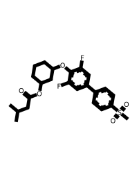 CC(C)CC(=O)OC1CCCC(Oc2c(F)cc(-c3ccc(S(C)(=O)=O)cc3)cc2F)C1